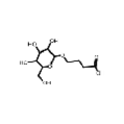 O=C(O)CCCOC1OC(CO)C(O)C(O)C1O